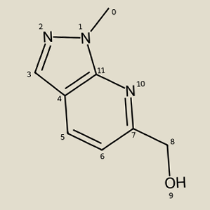 Cn1ncc2ccc(CO)nc21